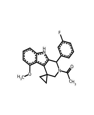 COc1cccc2[nH]c3c(c12)C1(CC1)CN(C(C)=O)C3c1cccc(F)c1